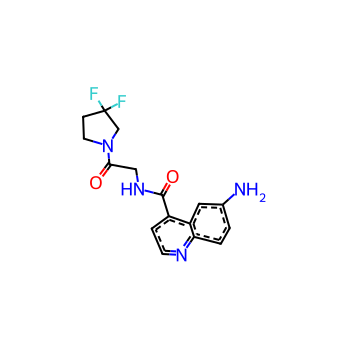 Nc1ccc2nccc(C(=O)NCC(=O)N3CCC(F)(F)C3)c2c1